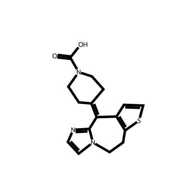 O=C(O)N1CCC(=C2c3ccsc3CCn3ccnc32)CC1